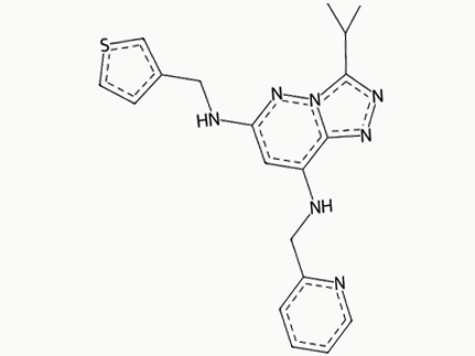 c1ccc(CNc2cc(NCc3ccsc3)nn3c(C4CC4)nnc23)nc1